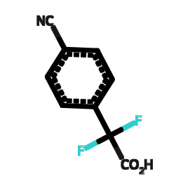 N#Cc1ccc(C(F)(F)C(=O)O)cc1